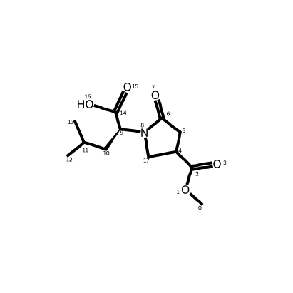 COC(=O)C1CC(=O)N([C@@H](CC(C)C)C(=O)O)C1